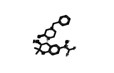 CC1(C)Oc2ccc([S+]([O-])C(F)F)cc2[C@@H](N2CCN(Cc3ccccc3)CC2=O)[C@@H]1O